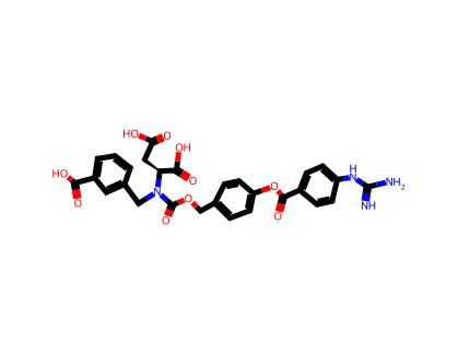 N=C(N)Nc1ccc(C(=O)Oc2ccc(COC(=O)N(Cc3cccc(C(=O)O)c3)[C@@H](CC(=O)O)C(=O)O)cc2)cc1